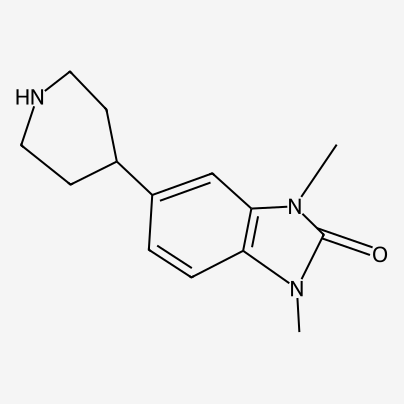 Cn1c(=O)n(C)c2cc(C3CCNCC3)ccc21